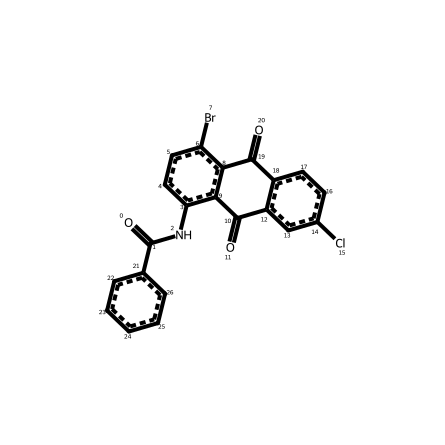 O=C(Nc1ccc(Br)c2c1C(=O)c1cc(Cl)ccc1C2=O)c1ccccc1